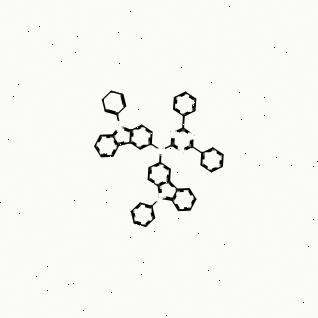 C1=CC(n2c3ccccc3c3cc(B(c4ccc5c(c4)c4ccccc4n5-c4ccccc4)c4nc(-c5ccccc5)nc(-c5ccccc5)n4)ccc32)=CCC1